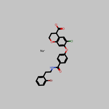 O=C(NCCc1ccccc1Br)c1ccc(Oc2cc3c(cc2Cl)C(C(=O)[O-])CCO3)cc1.[Na+]